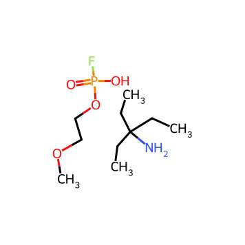 CCC(N)(CC)CC.COCCOP(=O)(O)F